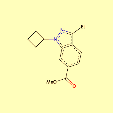 CCc1nn(C2CCC2)c2cc(C(=O)OC)ccc12